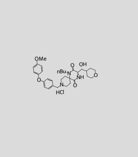 CCCCN1C(=O)[C@@H]([C@H](O)C2CCOCC2)NC(=O)C12CCN(Cc1ccc(Oc3ccc(OC)cc3)cc1)CC2.Cl